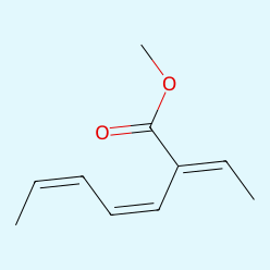 C\C=C/C=C\C(=C/C)C(=O)OC